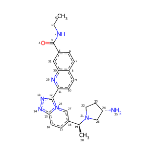 CCNC(=O)c1ccc2ccc(-c3nnc4ccc([C@H](C)N5CC[C@H](N)C5)cn34)nc2c1